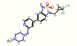 CC(=O)N1CCN(Cc2cc(-c3ccc4c(c3)N(C)S(=O)(=O)N4CC3CC3(F)F)ccn2)CC1